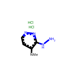 CNc1ccnnc1NN.Cl.Cl